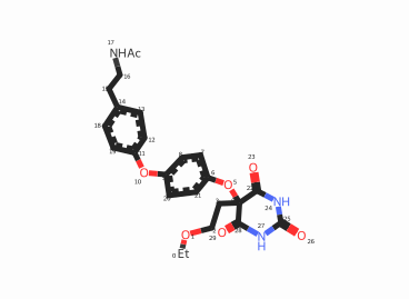 CCOCCC1(Oc2ccc(Oc3ccc(CCNC(C)=O)cc3)cc2)C(=O)NC(=O)NC1=O